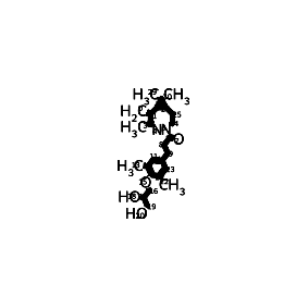 C=C1/C(C)=N\N(C(=O)CCc2cc(C)c(OCC(O)CO)c(C)c2)CCC2C1C2(C)C